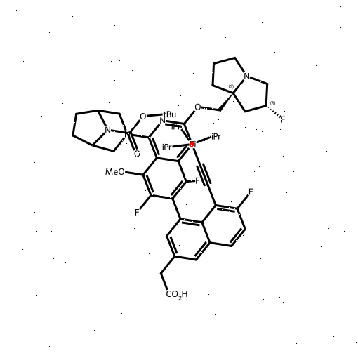 COc1c(F)c(-c2cc(CC(=O)O)cc3ccc(F)c(C#C[Si](C(C)C)(C(C)C)C(C)C)c23)c(F)c2nc(OC[C@@]34CCCN3C[C@H](F)C4)nc(N3CC4CCC(C3)N4C(=O)OC(C)(C)C)c12